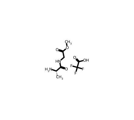 COC(=O)CNC(=O)[C@H](C)N.O=C(O)C(F)(F)F